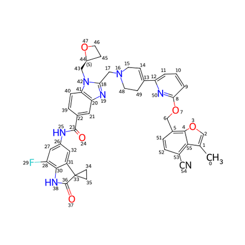 Cc1coc2c(COc3cccc(C4=CCN(Cc5nc6cc(C(=O)Nc7cc(F)c8c(c7)C7(CC7)C(=O)N8)ccc6n5C[C@@H]5CCO5)CC4)n3)ccc(C#N)c12